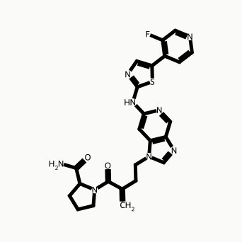 C=C(CCn1cnc2cnc(Nc3ncc(-c4ccncc4F)s3)cc21)C(=O)N1CCCC1C(N)=O